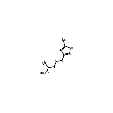 Nc1nc(CCC[C@H](N)C(=O)O)cs1